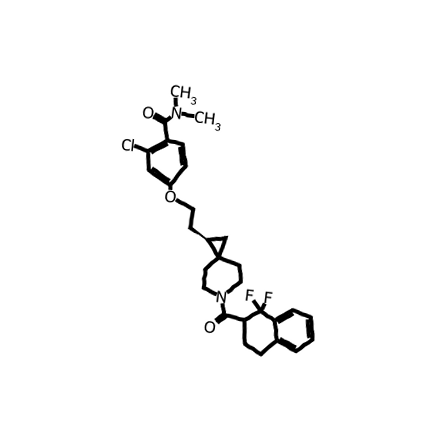 CN(C)C(=O)c1ccc(OCC[C@H]2CC23CCN(C(=O)C2CCc4ccccc4C2(F)F)CC3)cc1Cl